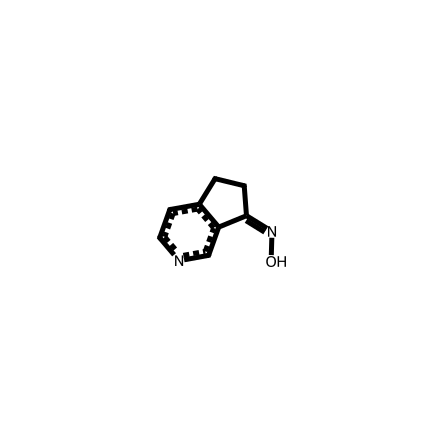 O/N=C1/CCc2ccncc21